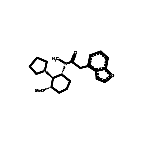 CO[C@H]1CCC[C@@H](N(C)C(=O)Cc2cccc3occc23)[C@@H]1N1CCCC1